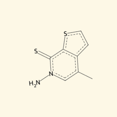 Cc1cn(N)c(=S)c2sccc12